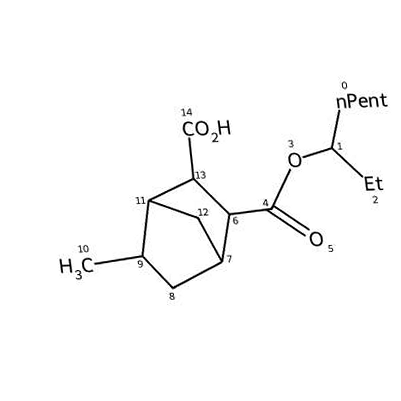 CCCCCC(CC)OC(=O)C1C2CC(C)C(C2)C1C(=O)O